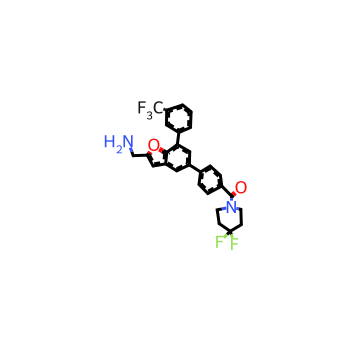 NCc1cc2cc(-c3ccc(C(=O)N4CCC(F)(F)CC4)cc3)cc(-c3cccc(C(F)(F)F)c3)c2o1